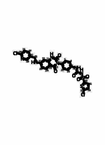 O=C(Nc1ccc(-n2c(=O)[nH]c3cc(NCc4ccc(Cl)nc4)ccc3c2=O)cc1)NS(=O)(=O)c1ccc(Cl)s1